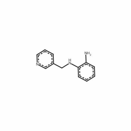 Nc1ccccc1NCc1cccnc1